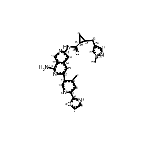 Cc1cc(-c2ncco2)ncc1-c1cc2cc(NC(=O)[C@H]3CC3Cc3cnn(C)c3)ncc2c(N)n1